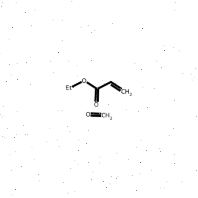 C=CC(=O)OCC.C=O